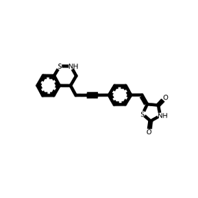 O=C1NC(=O)C(=Cc2ccc(C#CCC3CNSc4ccccc43)cc2)S1